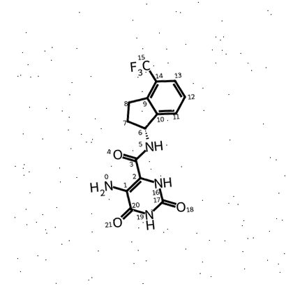 Nc1c(C(=O)N[C@@H]2CCc3c2cccc3C(F)(F)F)[nH]c(=O)[nH]c1=O